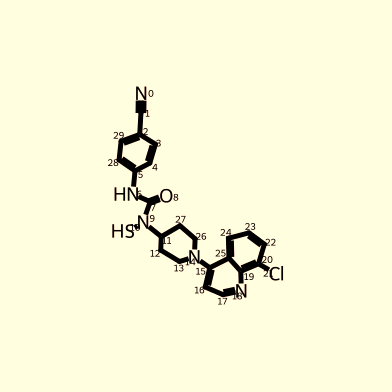 N#Cc1ccc(NC(=O)N(S)C2CCN(c3ccnc4c(Cl)cccc34)CC2)cc1